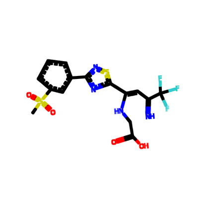 CS(=O)(=O)c1cccc(-c2nsc(/C(=C/C(=N)C(F)(F)F)NCC(=O)O)n2)c1